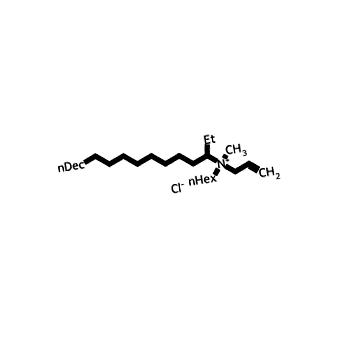 C=CC[N+](C)(CCCCCC)C(CC)CCCCCCCCCCCCCCCCCC.[Cl-]